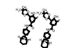 CC1(C)COC(c2cc(C(=O)Nc3ccc(N4[C@@H]5CCC[C@H]4CC5)cc3)cc(F)c2O)OC1.CC1(C)COC(c2cc(C(=O)Nc3ccc(N4[C@@H]5CCC[C@H]4CC5)cc3)cc(F)c2O)OC1